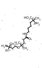 BC(C)(CCCCNC(=O)CCC(C)(C)OCCC(C)(N)CC)C(=O)O